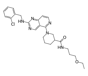 CCOCCCNC(=O)C1CCCN(c2nccc3nc(NCc4ccccc4Cl)ncc23)C1